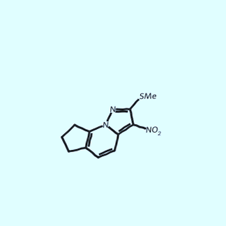 CSc1nn2c3c(ccc2c1[N+](=O)[O-])CCC3